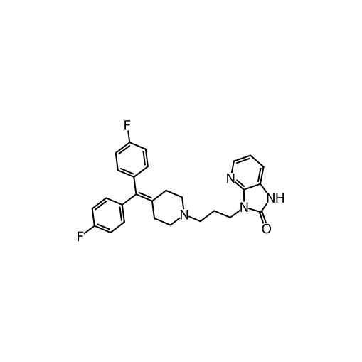 O=c1[nH]c2cccnc2n1CCCN1CCC(=C(c2ccc(F)cc2)c2ccc(F)cc2)CC1